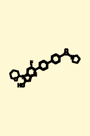 Oc1cc2nc(-c3ccc(-c4ccc(C5OC5N5CCCC5)cc4)cc3)c(F)cc2n1C1CCCCO1